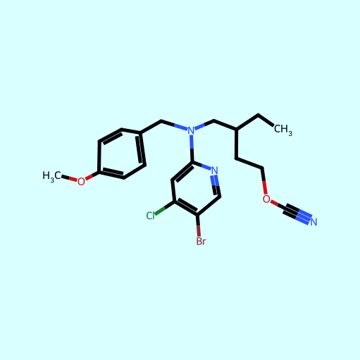 CCC(CCOC#N)CN(Cc1ccc(OC)cc1)c1cc(Cl)c(Br)cn1